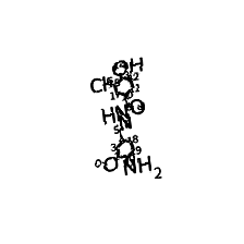 COc1cc(C=NNC(=O)c2ccc(O)c(Cl)c2)ccc1N